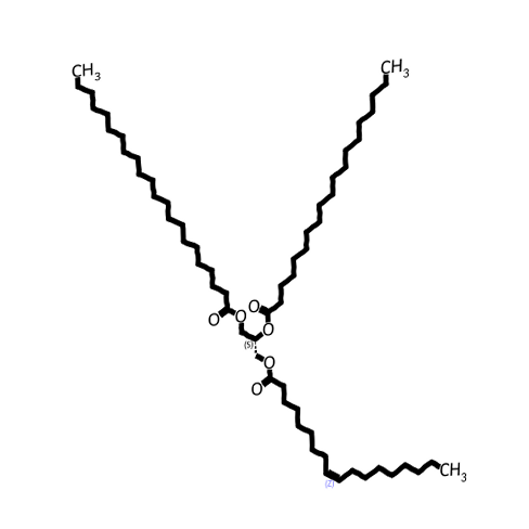 CCCCCCCC/C=C\CCCCCCCC(=O)OC[C@H](COC(=O)CCCCCCCCCCCCCCCCCCCCC)OC(=O)CCCCCCCCCCCCCCCCCC